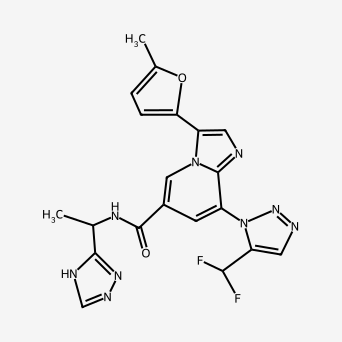 Cc1ccc(-c2cnc3c(-n4nncc4C(F)F)cc(C(=O)NC(C)c4nnc[nH]4)cn23)o1